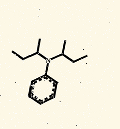 CCC(C)N(c1[c]cccc1)C(C)CC